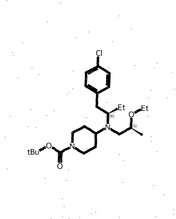 CCO[C@@H](C)CN(C1CCN(C(=O)OC(C)(C)C)CC1)[C@H](CC)Cc1ccc(Cl)cc1